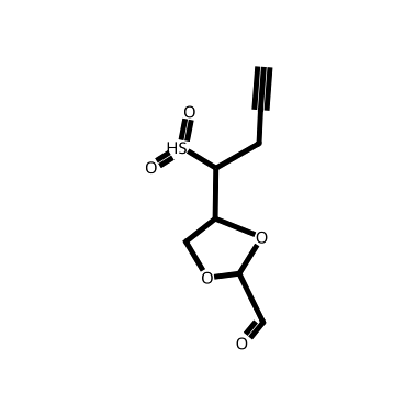 C#CCC(C1COC(C=O)O1)[SH](=O)=O